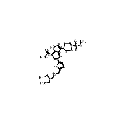 CCC(CC)CNCc1ccc(-c2cc(C(N)=O)c3[nH]cc(C4CCN(S(=O)(=O)CC)CC4)c3c2)s1